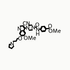 COC(=O)c1ccc(NC(=O)N2CCN(c3c(C#N)cnc4cc(OCCCN5CCCC5)c(OC)cc34)CC2)cc1